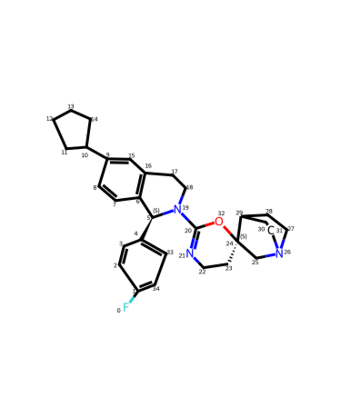 Fc1ccc([C@H]2c3ccc(C4CCCC4)cc3CCN2C2=NCC[C@]3(CN4CCC3CC4)O2)cc1